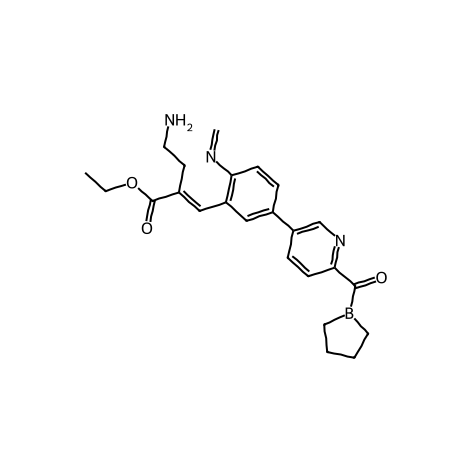 C=Nc1ccc(-c2ccc(C(=O)B3CCCC3)nc2)cc1/C=C(\CCN)C(=O)OCC